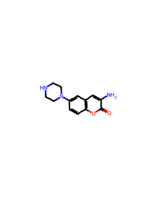 Nc1cc2cc(N3CCNCC3)ccc2oc1=O